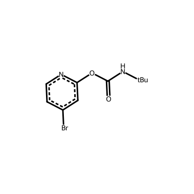 CC(C)(C)NC(=O)Oc1cc(Br)ccn1